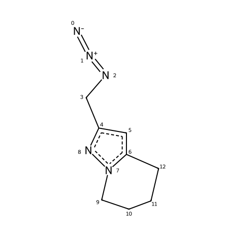 [N-]=[N+]=NCc1cc2n(n1)CCCC2